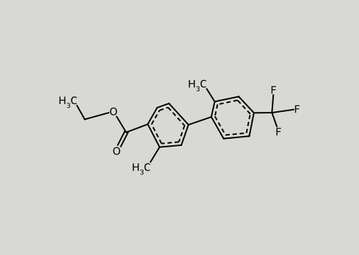 CCOC(=O)c1ccc(-c2ccc(C(F)(F)F)cc2C)cc1C